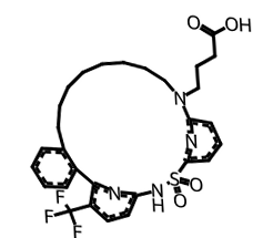 O=C(O)CCCN1CCCCCCCCc2ccccc2-c2nc(ccc2C(F)(F)F)NS(=O)(=O)c2cccc1n2